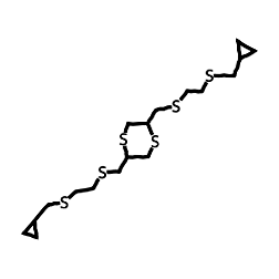 C(CSCC1CSC(CSCCSCC2CC2)CS1)SCC1CC1